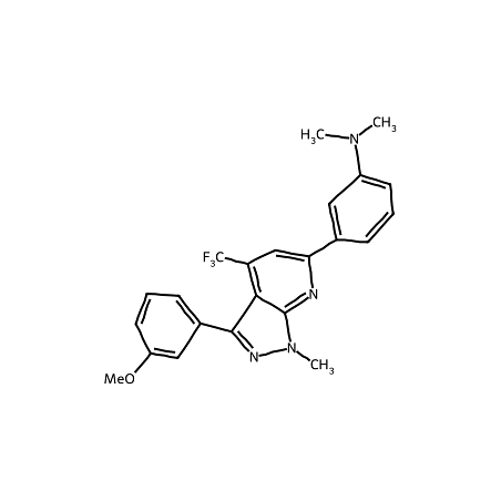 COc1cccc(-c2nn(C)c3nc(-c4cccc(N(C)C)c4)cc(C(F)(F)F)c23)c1